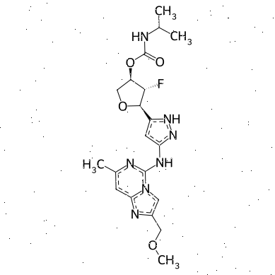 COCc1cn2c(Nc3cc([C@H]4OC[C@@H](OC(=O)NC(C)C)[C@@H]4F)[nH]n3)nc(C)cc2n1